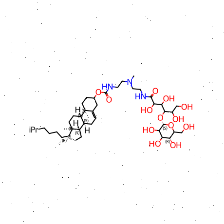 CC(C)CCC[C@@H](C)[C@H]1CC[C@H]2[C@@H]3CC=C4CC(OC(=O)NCCN(C)CCNC(=O)C(O)C(O)C(O[C@@H]5OC(CO)[C@H](O)C(O)C5O)C(O)CO)CC[C@]4(C)[C@H]3CC[C@]12C